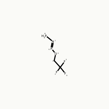 FC(F)(F)COP=NP